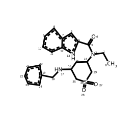 CCN(C(=O)c1cc2ccccc2[nH]1)C1CC(NCc2ccccc2)CS(=O)(=O)C1